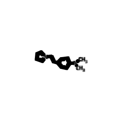 CN(C)c1ccc(C=Cn2cccc2)cc1